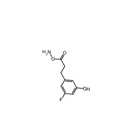 NOC(=O)CCc1cc(O)cc(F)c1